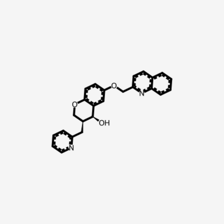 O[C@@H]1c2cc(OCc3ccc4ccccc4n3)ccc2OC[C@@H]1Cc1ccccn1